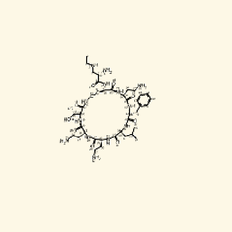 CCNC[C@H](N)C(=O)N[C@H]1CCNC(=O)[C@H]([C@@H](C)O)NC(=O)[C@H](CCN)NC(=O)[C@H](CCN)NC(=O)[C@H](CC(C)C)NC(=O)[C@@H](Cc2ccccc2)NC(=O)[C@H](CCN)NC1=O